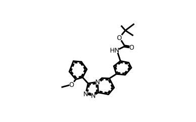 COc1ccccc1-c1nnc2ccc(-c3cccc(NC(=O)OC(C)(C)C)c3)cn12